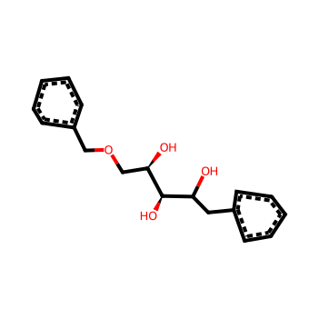 OC(Cc1ccccc1)[C@@H](O)[C@H](O)COCc1ccccc1